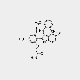 Cc1cc(C)c(-c2nc3ccc(F)cn3c2Nc2c(C)cccc2C)c(OCC(N)=O)c1